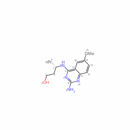 CCC[C@@H](CCO)Nc1nc(N)nc2ccc(OC)cc12